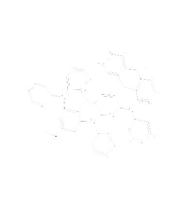 CC(C)(C)c1cc2c3c(c1)N(c1ccccc1)c1nc4c(cc1B3c1ccccc1N2c1ccccc1)B1c2ccccc2Oc2cccc(c21)N4c1ccccc1